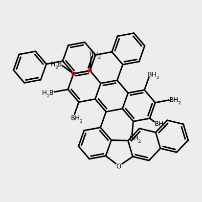 Bc1c(B)c(B)c2c(-c3cccc4oc5cc6ccccc6cc5c34)c3c(B)c(B)c(B)c(B)c3c(-c3ccccc3-c3ccc(-c4ccccc4)cc3)c2c1B